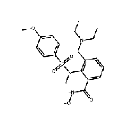 CCN(CC)Cc1cccc(C(=O)NO)c1N(C)S(=O)(=O)c1ccc(OC)cc1